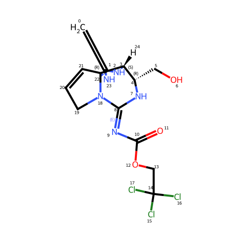 C=C1N[C@H]2[C@H](CO)N/C(=N\C(=O)OCC(Cl)(Cl)Cl)N3CC=C[C@]23N1